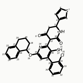 O=C1CC(c2ccsc2)NC(=O)C1c1nc(OC2CCCc3ccccc32)cc(-c2ccccc2Cl)c1S